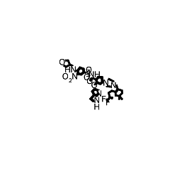 C=C(CCC1=C(CN2CCN(c3ccc(C(=O)NS(=O)(=O)c4ccc(NCC5CCOCC5)c([N+](=O)[O-])c4)c(Oc4cnc5[nH]ccc5c4)c3)CC2)CCC(C)(C)C1)C(F)F